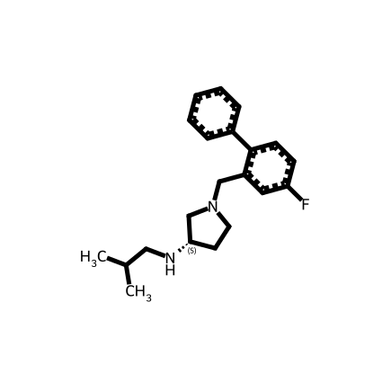 CC(C)CN[C@H]1CCN(Cc2cc(F)ccc2-c2ccccc2)C1